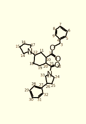 O=C(OCc1ccccc1)C1CC(N2CCCC2)CCC1C(=O)N1CCC(c2ccccc2)C1